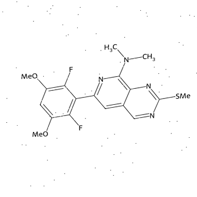 COc1cc(OC)c(F)c(-c2cc3cnc(SC)nc3c(N(C)C)n2)c1F